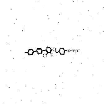 CCCCCCCC1CCC(COc2ccc(-c3ccc(-c4ccc(C)cc4)cc3)c(Cl)c2F)CC1